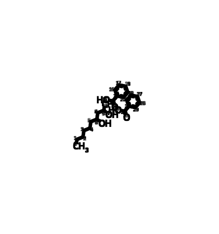 CCCCCCC(O)CC(C)O.O=C(O)c1ccccc1.O=C(O)c1ccccc1